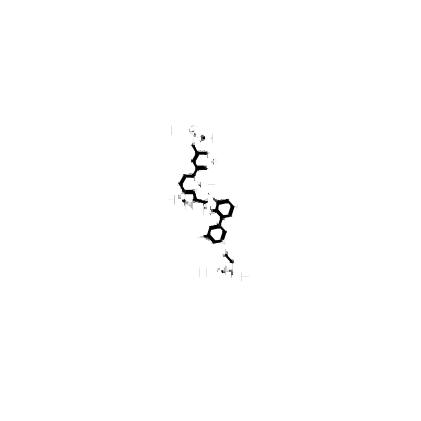 CN(C)CCOc1cc(F)cc(-c2cccc3[nH]c(-c4n[nH]c5ccc(-c6cncc(CN(C)C)c6)nc45)nc23)c1